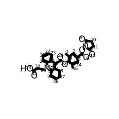 Cc1cc(C(=O)ON2C(=O)CCC2=O)cc(C)c1OC(=O)c1c2ccccc2[n+](CCC(=O)O)c2ccccc12